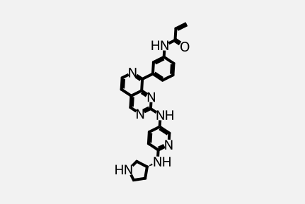 C=CC(=O)Nc1cccc(-c2nccc3cnc(Nc4ccc(N[C@@H]5CCNC5)nc4)nc23)c1